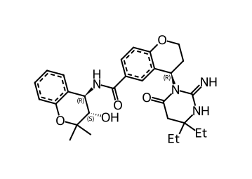 CCC1(CC)CC(=O)N([C@@H]2CCOc3ccc(C(=O)N[C@@H]4c5ccccc5OC(C)(C)[C@H]4O)cc32)C(=N)N1